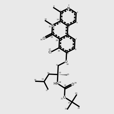 Cc1nccc2c3ccc(OC[C@](C)(CC(C)C)NC(=O)OC(C)(C)C)c(Cl)c3c(=O)n(C)c12